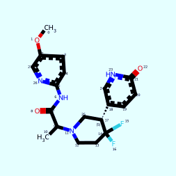 COc1ccc(NC(=O)C(C)N2CCC(F)(F)[C@@H](c3ccc(=O)[nH]c3)C2)nc1